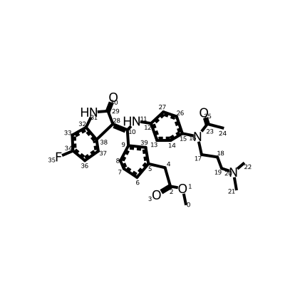 COC(=O)Cc1cccc(/C(Nc2ccc(N(CCCN(C)C)C(C)=O)cc2)=C2/C(=O)Nc3cc(F)ccc32)c1